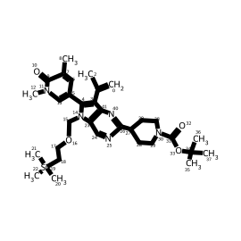 C=C(C)c1c(-c2cc(C)c(=O)n(C)c2)n(COCC[Si](C)(C)C)c2cnc(C3CCN(C(=O)OC(C)(C)C)CC3)nc12